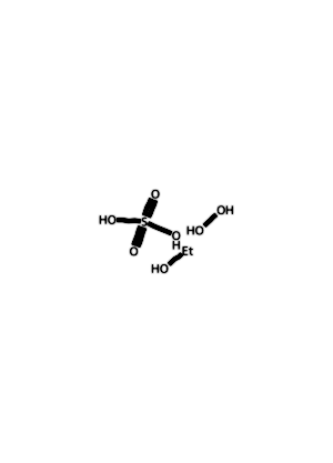 CCO.O=S(=O)(O)O.OO